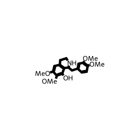 COc1ccc(CC2NCCc3cc(OC)c(OC)c(O)c32)cc1OC